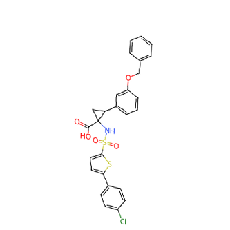 O=C(O)C1(NS(=O)(=O)c2ccc(-c3ccc(Cl)cc3)s2)CC1c1cccc(OCc2ccccc2)c1